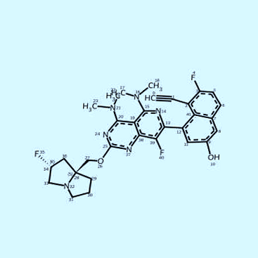 C#Cc1c(F)ccc2cc(O)cc(-c3nc(N(C)C)c4c(N(C)C)nc(OC[C@@]56CCCN5C[C@H](F)C6)nc4c3F)c12